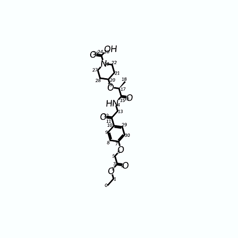 CCOC(=O)COc1ccc(C(=O)CNC(=O)[C@H](C)OC2CCN(C(=O)O)CC2)cc1